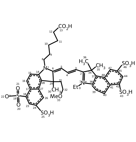 CC[N+]1=C(/C=C/C=C2/N(CCCCCC(=O)O)c3ccc4c(S(=O)(=O)[O-])cc(S(=O)(=O)O)cc4c3C2(C)CCOC)C(C)(C)c2c1ccc1c(S(=O)(=O)O)cc(S(=O)(=O)O)cc21